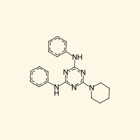 c1ccc(Nc2nc(Nc3ccccc3)nc(N3CCCCC3)n2)cc1